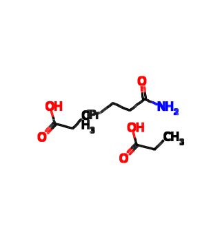 CC(C)CCC(N)=O.CCC(=O)O.CCC(=O)O